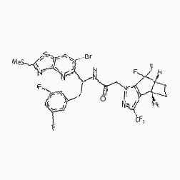 CSc1nc2nc(C(Cc3cc(F)cc(F)c3)NC(=O)Cn3nc(C(F)(F)F)c4c3C(F)(F)[C@@H]3CC[C@H]43)c(Br)cc2s1